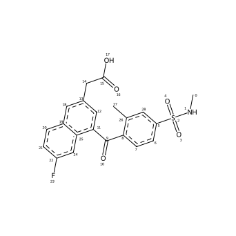 CNS(=O)(=O)c1ccc(C(=O)c2cc(CC(=O)O)cc3ccc(F)cc23)c(C)c1